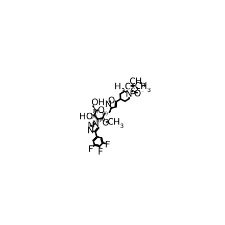 CO[C@@H]1[C@@H](n2cc(-c3cc(F)c(F)c(F)c3)nn2)[C@@H](O)[C@@H](CO)O[C@@H]1Cc1cc(C2CCN([S+]([O-])C(C)(C)C)CC2)on1